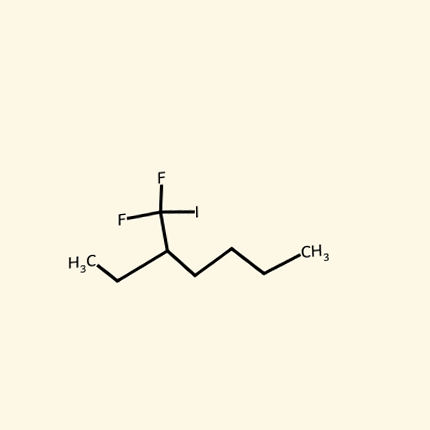 CCCCC(CC)C(F)(F)I